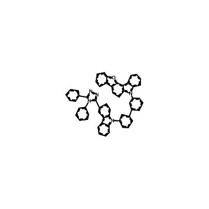 c1ccc(-c2nnc(-c3ccc4c(c3)c3ccccc3n4-c3cccc(-c4cccc(-n5c6ccccc6c6c7oc8ccccc8c7ccc65)c4)c3)n2-c2ccccc2)cc1